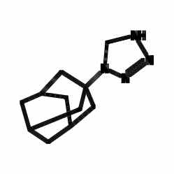 C1C2CC3CC1CC(N1CNN=N1)(C2)C3